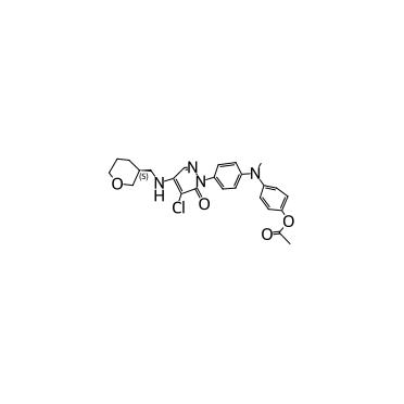 CC(=O)Oc1ccc(N(C)c2ccc(-n3ncc(NC[C@@H]4CCCOC4)c(Cl)c3=O)cc2)cc1